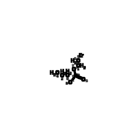 O.O.O.O.O.O=[N+]([O-])[O-].[Er]